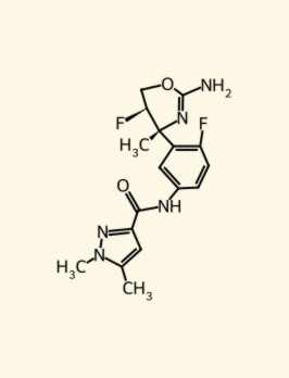 Cc1cc(C(=O)Nc2ccc(F)c([C@@]3(C)N=C(N)OC[C@@H]3F)c2)nn1C